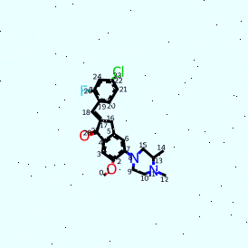 COc1cc2c(cc1N1CCN(C)C(C)C1)C/C(=C\c1ccc(Cl)cc1F)C2=O